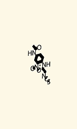 CC(=O)Nc1ccc(NCCN=C=S)c([N+](=O)[O-])c1